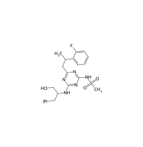 CC(C)CC(CO)Nc1nc(CC(C)c2ccccc2F)nc(NS(C)(=O)=O)n1